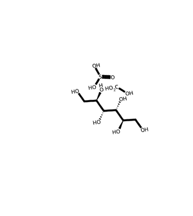 O=C(O)O.O=S(O)O.OC[C@@H](O)[C@@H](O)[C@H](O)[C@H](O)CO